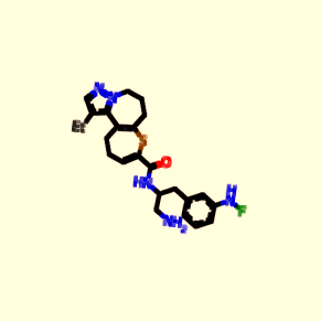 CCc1cnn2c1C1=C(CCC2)SC(C(=O)NC(CN)Cc2cccc(NF)c2)=CCC1